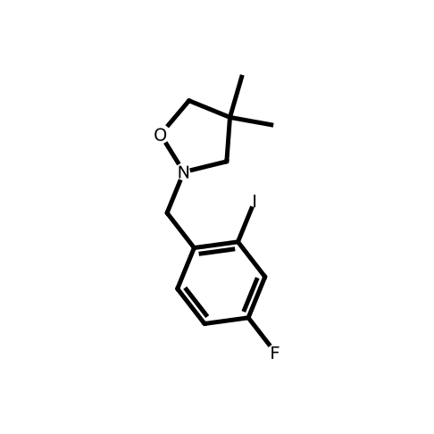 CC1(C)CON(Cc2ccc(F)cc2I)C1